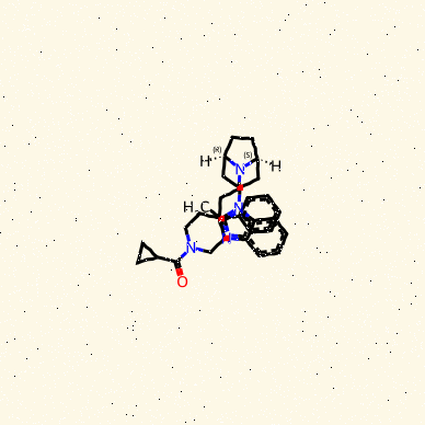 Cc1nc2ccccc2n1C1C[C@H]2CC[C@@H](C1)N2CCC1(c2ccccc2)CCN(C(=O)C2CC2)CC1